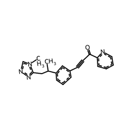 CC(Cc1nncn1C)c1cccc(C#CC(=O)c2ccccn2)c1